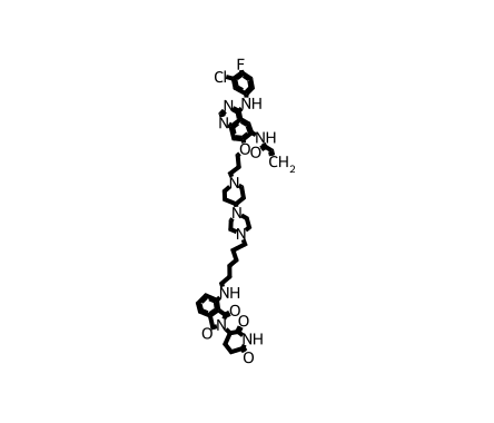 C=CC(=O)Nc1cc2c(Nc3ccc(F)c(Cl)c3)ncnc2cc1OCCCN1CCC(N2CCN(CCCCCCNc3cccc4c3C(=O)N(C3CCC(=O)NC3=O)C4=O)CC2)CC1